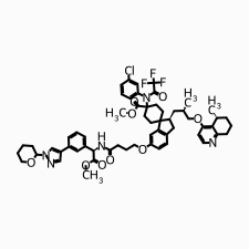 COC(=O)[C@H](NC(=O)CCCOc1ccc2c(c1)C1(CCC(C(=O)OC)(N(C(=O)C(F)(F)F)c3cccc(Cl)c3)CC1)[C@@H](C[C@@H](C)COc1ccnc3c1[C@H](C)CCC3)C2)c1cccc(-c2cnn(C3CCCCO3)c2)c1